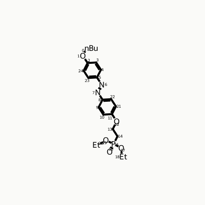 CCCCOc1ccc(N=Nc2ccc(OCCP(=O)(OCC)OCC)cc2)cc1